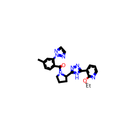 CCOc1ncccc1-c1nnc(C2CCCN2C(=O)c2ccc(C)cc2-n2nccn2)[nH]1